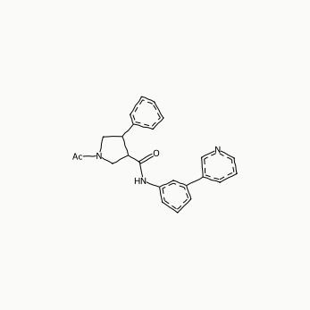 CC(=O)N1CC(C(=O)Nc2cccc(-c3cccnc3)c2)C(c2ccccc2)C1